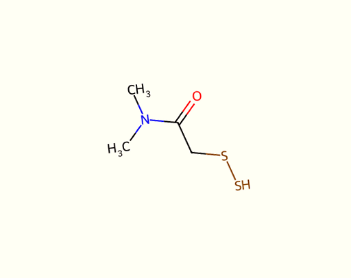 CN(C)C(=O)CSS